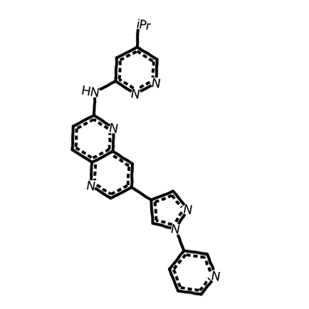 CC(C)c1cnnc(Nc2ccc3ncc(-c4cnn(-c5cccnc5)c4)cc3n2)c1